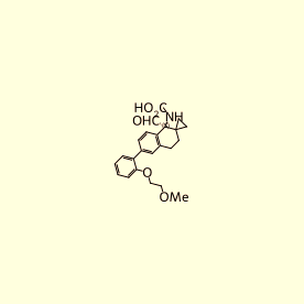 COCCOc1ccccc1-c1ccc2c(c1)CCC1(CC1)[C@]2(C=O)NC(=O)O